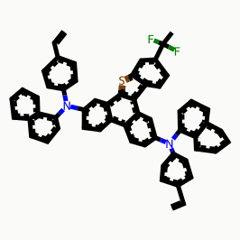 C=Cc1ccc(N(c2ccc3c4ccc(N(c5ccc(C=C)cc5)c5cccc6ccccc56)cc4c4c5ccc(C(C)(F)F)cc5sc4c3c2)c2cccc3ccccc23)cc1